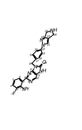 CC(C)c1c(F)cccc1-c1ncc2[nH]c(=O)n(Cc3ccc(-n4cc5c(n4)CNC5)cc3)c2n1